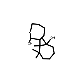 CC1(C)CCCCC(C)(O)C1(C)C1CCCCCC1O